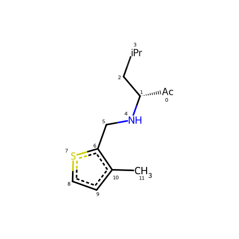 CC(=O)[C@@H](CC(C)C)NCc1sccc1C